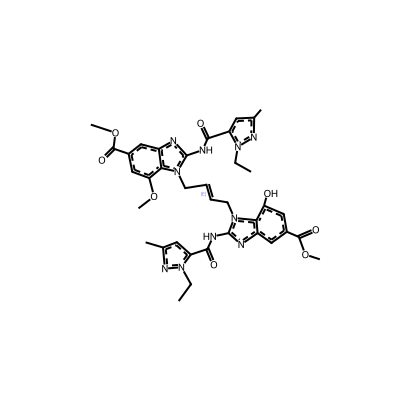 CCn1nc(C)cc1C(=O)Nc1nc2cc(C(=O)OC)cc(O)c2n1C/C=C/Cn1c(NC(=O)c2cc(C)nn2CC)nc2cc(C(=O)OC)cc(OC)c21